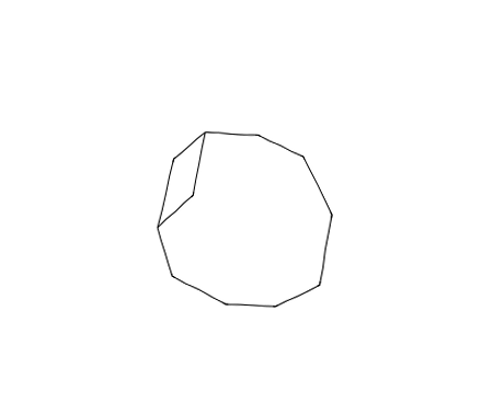 C1CCCC2CC(CCC1)C2